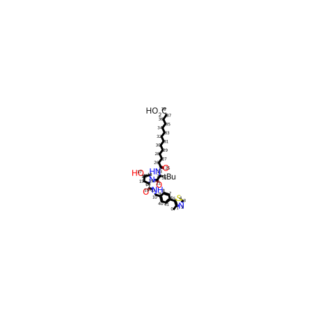 Cc1ncsc1-c1ccc(CNC(=O)[C@@H]2C[C@@H](O)CN2C(=O)C(NC(=O)CCCCCCCCCCCCC(=O)O)C(C)(C)C)cc1